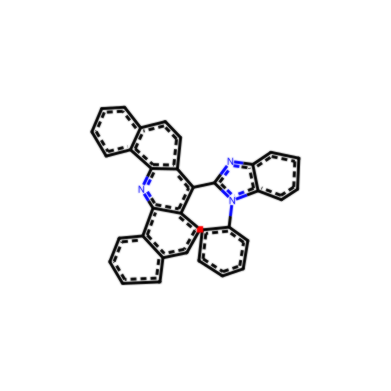 c1ccc(-n2c(-c3c4ccc5ccccc5c4nc4c3ccc3ccccc34)nc3ccccc32)cc1